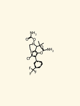 CC(C)(C)C1c2c(OC(N)=O)c(-c3cccc(C(F)(F)F)c3)c(Cl)n2CCN1OC(N)=O